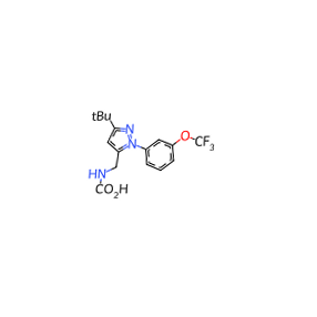 CC(C)(C)c1cc(CNC(=O)O)n(-c2cccc(OC(F)(F)F)c2)n1